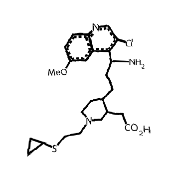 COc1ccc2ncc(Cl)c(C(N)CCC3CCN(CCSC4CC4)CC3CC(=O)O)c2c1